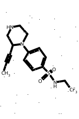 CC#CC1CNCCN1c1ccc(S(=O)(=O)NCC(F)(F)F)cc1